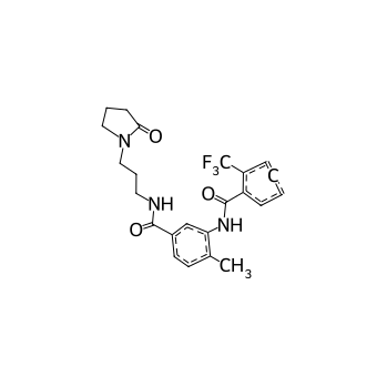 Cc1ccc(C(=O)NCCCN2CCCC2=O)cc1NC(=O)c1ccccc1C(F)(F)F